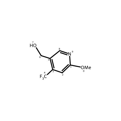 COc1cc(C(F)(F)F)c(CO)cn1